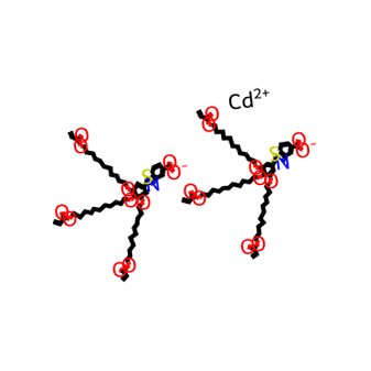 C=CC(=O)OCCCCCCCCCCCOc1cc(-c2nc3cc(C(=O)[O-])ccc3s2)cc(OCCCCCCCCCCCOC(=O)C=C)c1OCCCCCCCCCCCOC(=O)C=C.C=CC(=O)OCCCCCCCCCCCOc1cc(-c2nc3cc(C(=O)[O-])ccc3s2)cc(OCCCCCCCCCCCOC(=O)C=C)c1OCCCCCCCCCCCOC(=O)C=C.[Cd+2]